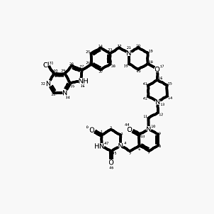 O=C1CCN(Cc2cccn(CCN3CCC(OC4CCN(Cc5ccc(-c6cc7c(Cl)ncnc7[nH]6)cc5)CC4)CC3)c2=O)C(=O)N1